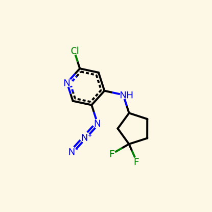 [N-]=[N+]=Nc1cnc(Cl)cc1NC1CCC(F)(F)C1